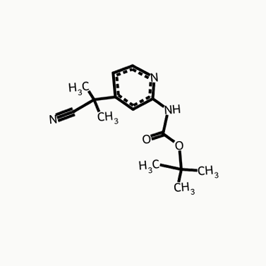 CC(C)(C)OC(=O)Nc1cc(C(C)(C)C#N)ccn1